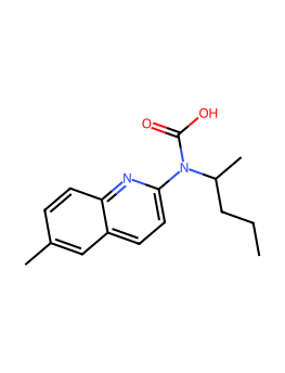 CCCC(C)N(C(=O)O)c1ccc2cc(C)ccc2n1